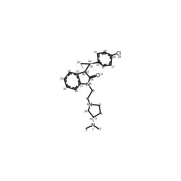 CN(C)[C@H]1CCN(CCN2C(=O)[C@@]3(C[C@H]3c3ccc(Cl)cc3)c3ccccc32)C1